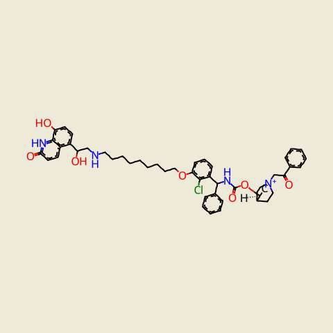 O=C(NC(c1ccccc1)c1cccc(OCCCCCCCCCNCC(O)c2ccc(O)c3[nH]c(=O)ccc23)c1Cl)O[C@H]1C[N+]2(CC(=O)c3ccccc3)CCC1CC2